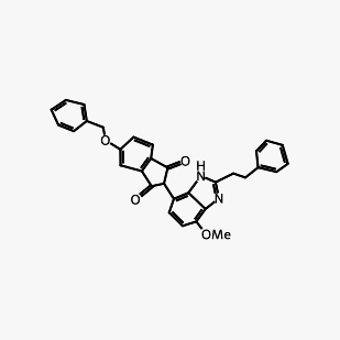 COc1ccc(C2C(=O)c3ccc(OCc4ccccc4)cc3C2=O)c2[nH]c(CCc3ccccc3)nc12